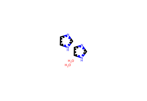 O.O.c1c[nH]cn1.c1c[nH]cn1